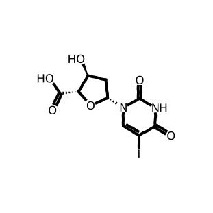 O=C(O)[C@H]1O[C@@H](n2cc(I)c(=O)[nH]c2=O)C[C@@H]1O